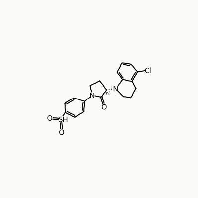 O=C1[C@@H](N2CCCc3c(Cl)cccc32)CCN1c1ccc([SH](=O)=O)cc1